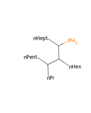 CCCCCCCC(P)C(CCCCCC)C(CCC)CCCCC